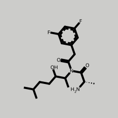 CC(C)CCC(O)C(C)N(C(=O)Cc1cc(F)cc(F)c1)C(=O)[C@H](C)N